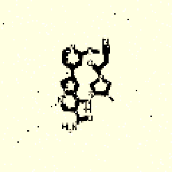 COc1cc(-c2cc3c(N[C@@H]4CN(C(=O)CC#N)C[C@H]4C)c(C(N)=O)cnn3c2)ccn1